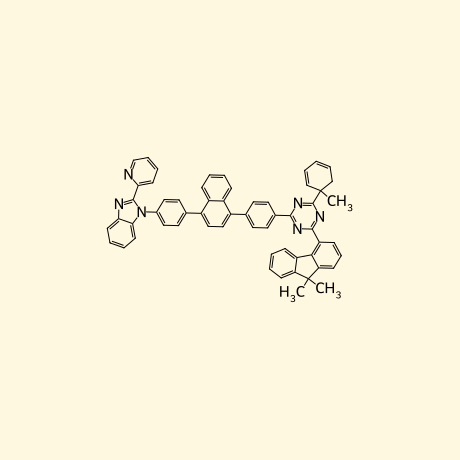 CC1(c2nc(-c3ccc(-c4ccc(-c5ccc(-n6c(-c7ccccn7)nc7ccccc76)cc5)c5ccccc45)cc3)nc(-c3cccc4c3-c3ccccc3C4(C)C)n2)C=CC=CC1